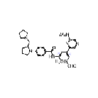 CNc1cncc(C(/C=C(\C)NC(=O)c2ccc(N3CCCC3CN3CCCC3)cc2)=C/NC=O)n1